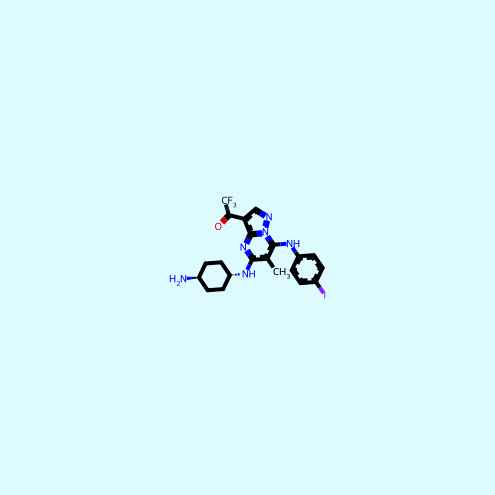 Cc1c(N[C@H]2CC[C@H](N)CC2)nc2c(C(=O)C(F)(F)F)cnn2c1Nc1ccc(I)cc1